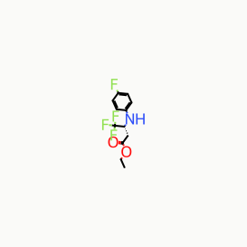 CCOC(=O)C[C@@H](Nc1ccc(F)cc1)C(F)(F)F